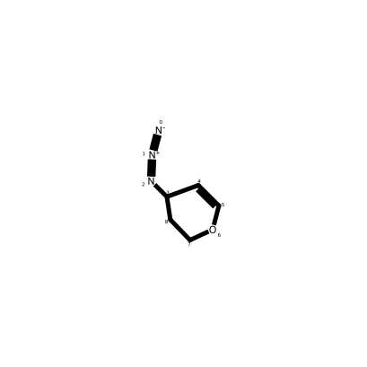 [N-]=[N+]=NC1C=COCC1